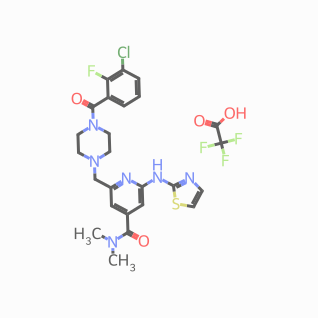 CN(C)C(=O)c1cc(CN2CCN(C(=O)c3cccc(Cl)c3F)CC2)nc(Nc2nccs2)c1.O=C(O)C(F)(F)F